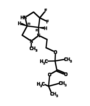 CN1C[C@@H]2NCC(F)(F)[C@@H]2N1CCOC(C)(C)C(=O)OC(C)(C)C